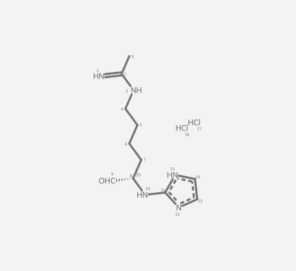 CC(=N)NCCCC[C@@H](C=O)Nc1ncc[nH]1.Cl.Cl